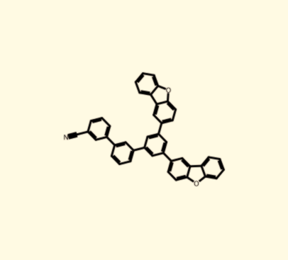 N#Cc1cccc(-c2cccc(-c3cc(-c4ccc5oc6ccccc6c5c4)cc(-c4ccc5oc6ccccc6c5c4)c3)c2)c1